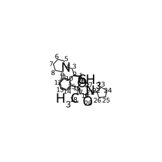 C/C=C(/CN1CCCCC1)c1ccccc1C1=C(C)C(=O)N(C2CCCC2)CO1